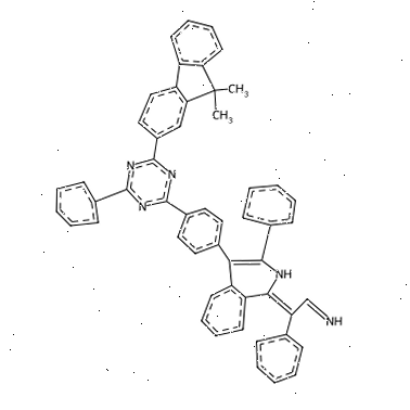 CC1(C)c2ccccc2-c2ccc(-c3nc(-c4ccccc4)nc(-c4ccc(C5=C(c6ccccc6)N/C(=C(\C=N)c6ccccc6)c6ccccc65)cc4)n3)cc21